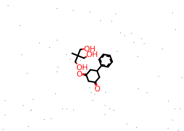 CC(CO)(CO)CO.O=C1CC(=O)CC(c2ccccc2)C1